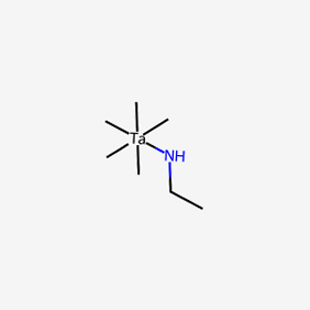 CC[NH][Ta]([CH3])([CH3])([CH3])([CH3])[CH3]